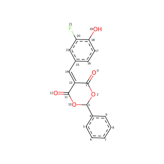 O=C1OC(c2ccccc2)OC(=O)C1=Cc1ccc(O)c(F)c1